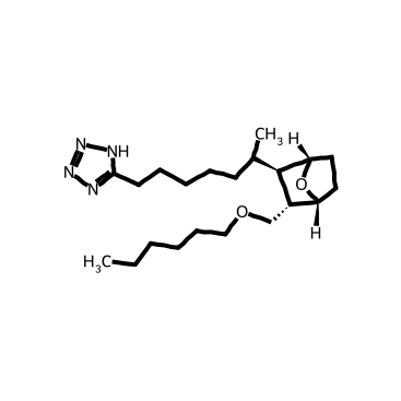 CCCCCCOC[C@@H]1[C@@H](C(C)CCCCCc2nnn[nH]2)[C@@H]2CC[C@H]1O2